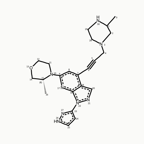 CC1CN(CC#Cc2cc(N3CCOC[C@H]3C)nc3c2cnn3-c2cc[nH]n2)CCN1